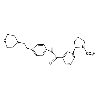 O=C(Nc1ccc(CCN2CCOCC2)cc1)c1cccc([C@H]2CCCN2C(=O)O)c1